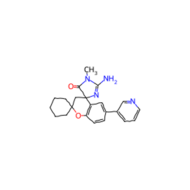 CN1C(=O)C2(CC3(CCCCC3)Oc3ccc(-c4cccnc4)cc32)N=C1N